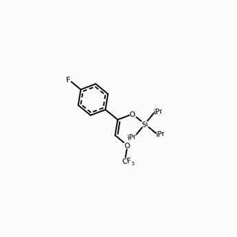 CC(C)[Si](OC(=COC(F)(F)F)c1ccc(F)cc1)(C(C)C)C(C)C